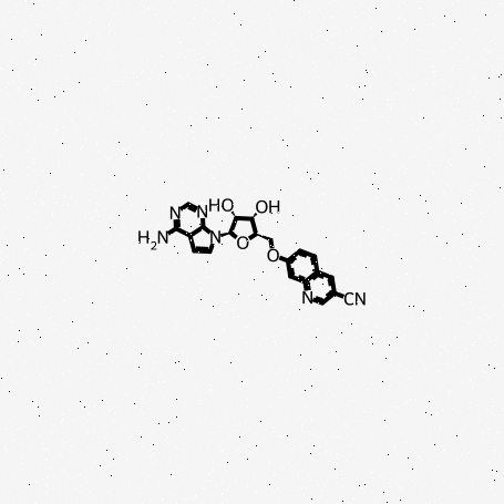 N#Cc1cnc2cc(OC[C@H]3O[C@@H](N4C=CC5C(N)=NC=NC54)[C@H](O)[C@@H]3O)ccc2c1